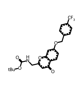 CC(C)(C)OC(=O)NCc1cc(=O)c2ccc(OCc3ccc(C(F)(F)F)cc3)cc2o1